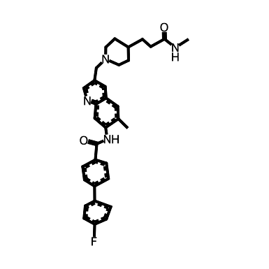 CNC(=O)CCC1CCN(Cc2cnc3cc(NC(=O)c4ccc(-c5ccc(F)cc5)cc4)c(C)cc3c2)CC1